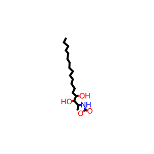 CCCCCCCCCCCCCCC(O)C(O)C1COC(=O)N1